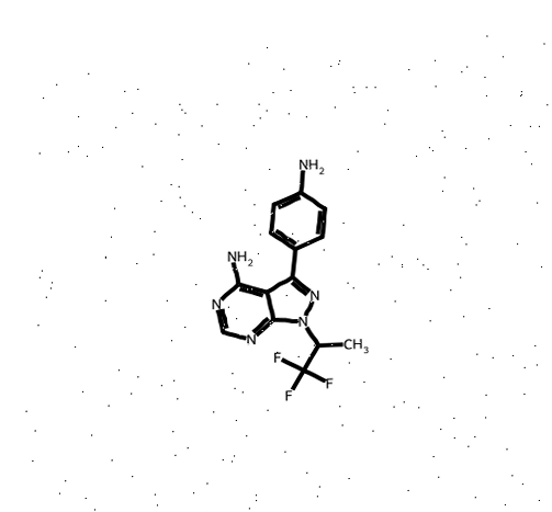 CC(n1nc(-c2ccc(N)cc2)c2c(N)ncnc21)C(F)(F)F